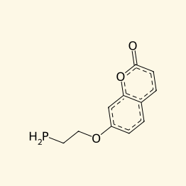 O=c1ccc2ccc(OCCP)cc2o1